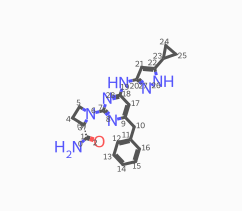 NC(=O)[C@@H]1CCN1c1nc(Cc2ccccc2)cc(Nc2cc(C3CC3)[nH]n2)n1